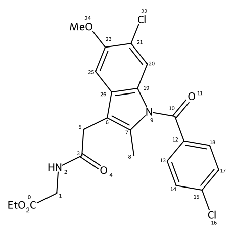 CCOC(=O)CNC(=O)Cc1c(C)n(C(=O)c2ccc(Cl)cc2)c2cc(Cl)c(OC)cc12